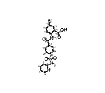 CN(c1ccccn1)S(=O)(=O)c1ccc(C(=O)Nc2ccc(Br)cc2C(=O)O)cc1